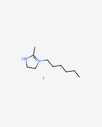 CCCCCC[N+]1=C(C)NCC1.[I-]